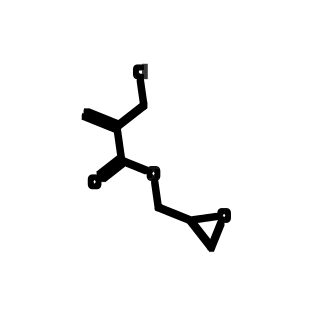 C=C(CCl)C(=O)OCC1CO1